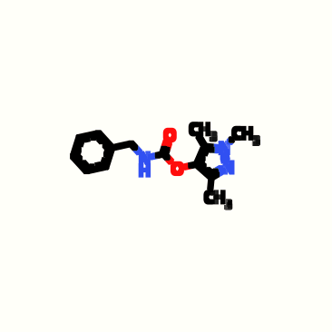 Cc1nn(C)c(C)c1OC(=O)NCc1ccccc1